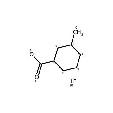 CC1CCCC(C(=O)[O-])C1.[Tl+]